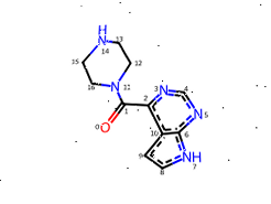 O=C(c1ncnc2[nH]ccc12)N1CCNCC1